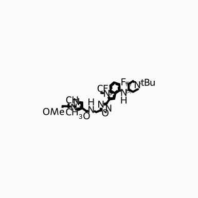 COCC(C)(C)n1cc(C(=O)NCc2nc(-c3cc4c(N[C@H]5CCN(C(C)(C)C)C[C@H]5F)cccc4n3CC(F)(F)F)no2)cn1